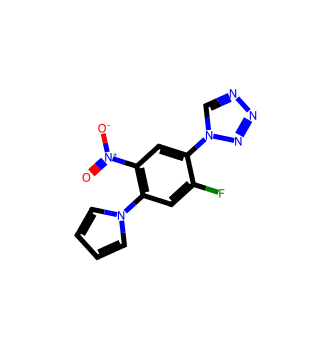 O=[N+]([O-])c1cc(-n2cnnn2)c(F)cc1-n1cccc1